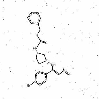 N=N/C=C(\N[C@@H]1CC[C@H](NC(=O)OCc2ccccc2)C1)c1ccc(Br)cc1